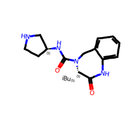 CC[C@H](C)[C@H]1C(=O)Nc2ccccc2CN1C(=O)N[C@H]1CCNC1